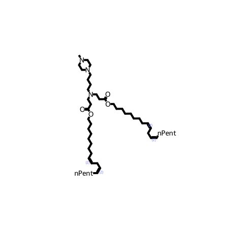 CCCCC/C=C\C/C=C\CCCCCCCCOC(=O)CCN(CCCCN1CCN(C)CC1)CCC(=O)OCCCCCCCC/C=C\C/C=C\CCCCC